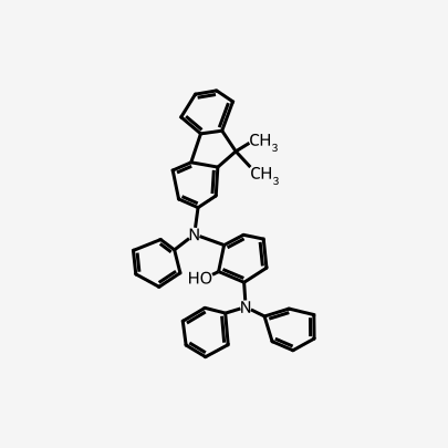 CC1(C)c2ccccc2-c2ccc(N(c3ccccc3)c3cccc(N(c4ccccc4)c4ccccc4)c3O)cc21